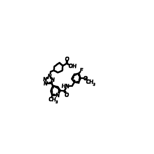 COc1cc(CNC(=O)c2cc(-c3nnn(CC4CCC(C(=O)O)CC4)n3)cc(C)n2)ccc1F